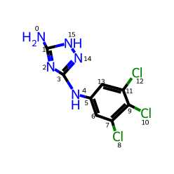 Nc1nc(Nc2cc(Cl)c(Cl)c(Cl)c2)n[nH]1